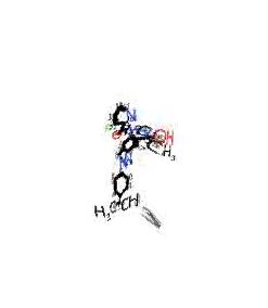 CC(C)[C@H]1CC[C@H](n2cc3cc(NC(=O)c4ncccc4F)c(C(C)(C)O)cc3n2)CC1